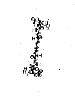 CC1(C)COC(=O)CO[C@H]1C(=O)NCCC(=O)NCCSSCCNC(=O)CCNC(=O)[C@@H]1OC(=O)C(=O)OCC1(C)C